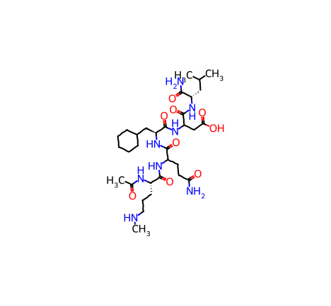 CNCCC[C@H](NC(C)=O)C(=O)NC(CCC(N)=O)C(=O)N[C@@H](CC1CCCCC1)C(=O)NC(CC(=O)O)C(=O)N[C@@H](CC(C)C)C(N)=O